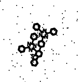 c1ccc(-c2nc(-c3ccccc3)nc(-c3ccc(-c4ccc5c(sc6ccccc65)c4-c4nc(-c5ccccc5)nc(-c5ccccc5)n4)cc3)n2)cc1